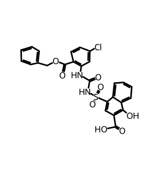 O=C(Nc1cc(Cl)ccc1C(=O)OCc1ccccc1)NS(=O)(=O)c1cc(C(=O)O)c(O)c2ccccc12